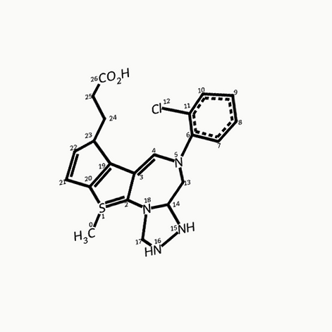 CS1=C2C(=CN(c3ccccc3Cl)CC3NNCN23)C2=C1C=CC2CCC(=O)O